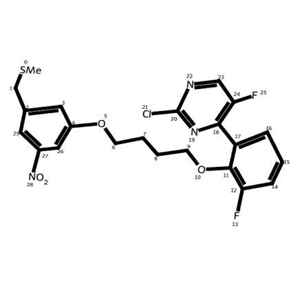 CSCc1cc(OCCCCOc2c(F)cccc2-c2nc(Cl)ncc2F)cc([N+](=O)[O-])c1